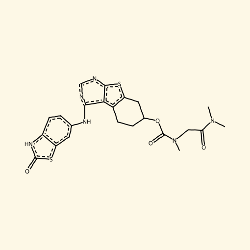 CN(C)C(=O)CN(C)C(=O)OC1CCc2c(sc3ncnc(Nc4ccc5[nH]c(=O)sc5c4)c23)C1